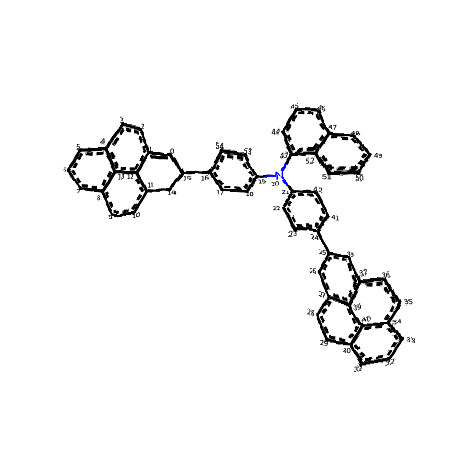 C1=c2ccc3cccc4ccc(c2c43)CC1c1ccc(N(c2ccc(-c3cc4ccc5cccc6ccc(c3)c4c56)cc2)c2cccc3ccccc23)cc1